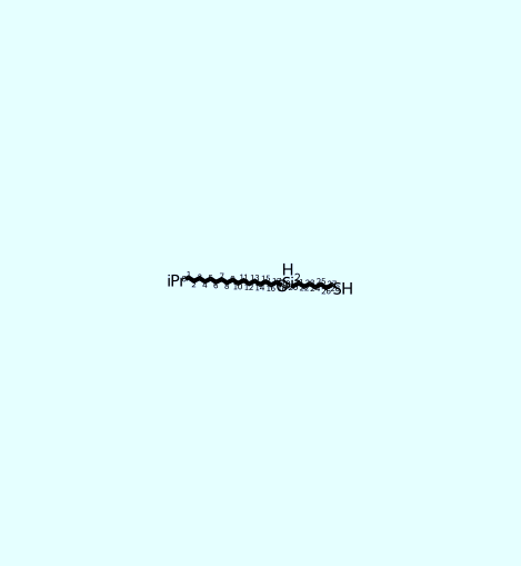 CC(C)CCCCCCCCCCCCCCCCCO[SiH2]CCCCCCCCS